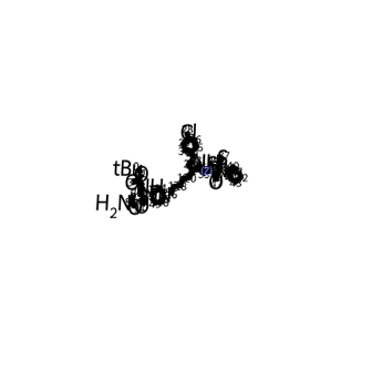 CC(C)(C)OC(=O)N[C@@H](CC(N)=O)C(=O)N1CCN(CCCCCc2cc(-c3ccc(Cl)cc3)[nH]c2/C=C2\SC(=S)N(C3CC4CCC3C4)C2=O)CC1